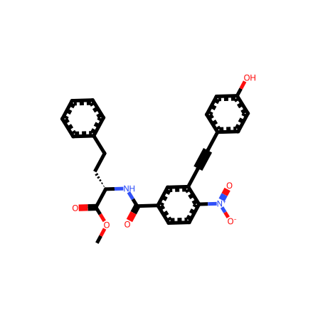 COC(=O)[C@H](CCc1ccccc1)NC(=O)c1ccc([N+](=O)[O-])c(C#Cc2ccc(O)cc2)c1